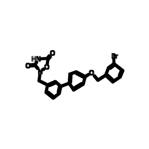 O=c1[nH]c(=O)n(Cc2cccc(-c3ccc(OCc4cccc(Br)c4)cc3)c2)o1